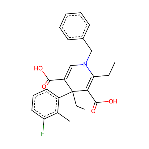 CCC1=C(C(=O)O)C(CC)(c2cccc(F)c2C)C(C(=O)O)=CN1Cc1ccccc1